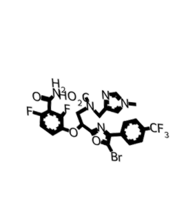 Cn1cnc(CN(CC(Oc2ccc(F)c(C(N)=O)c2F)c2nc(-c3ccc(C(F)(F)F)cc3)c(Br)o2)C(=O)O)c1